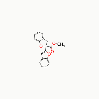 COC(=O)C1(c2cc3ccccc3o2)Cc2ccccc2O1